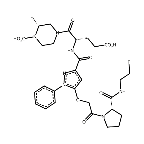 C[C@@H]1CN(C(=O)[C@H](CCC(=O)O)NC(=O)c2cc(OCC(=O)N3CCC[C@H]3C(=O)NCCF)n(-c3ccccc3)n2)CCN1C(=O)O